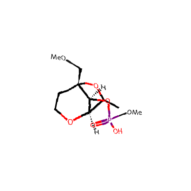 COC[C@@]12CCO[C@H](C(C)O1)[C@@H]2OP(=O)(O)OC